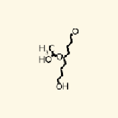 CC(=O)O.O=CCCCCCCCCO